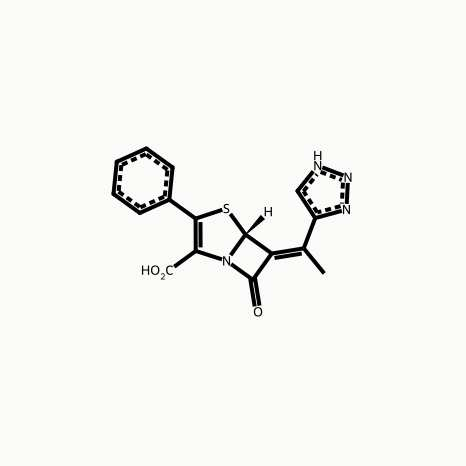 C/C(=C1\C(=O)N2C(C(=O)O)=C(c3ccccc3)S[C@H]12)c1c[nH]nn1